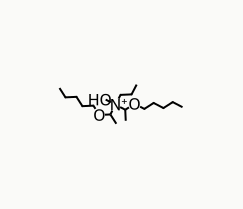 CCCCCOC(C)[N+](O)(CCC)C(C)OCCCCC